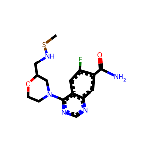 CSNCC1CN(c2ncnc3cc(C(N)=O)c(F)cc23)CCO1